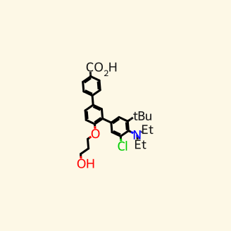 CCN(CC)c1c(Cl)cc(-c2cc(-c3ccc(C(=O)O)cc3)ccc2OCCCO)cc1C(C)(C)C